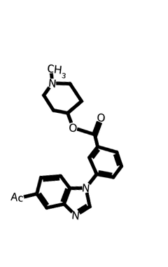 CC(=O)c1ccc2c(c1)ncn2-c1cccc(C(=O)OC2CCN(C)CC2)c1